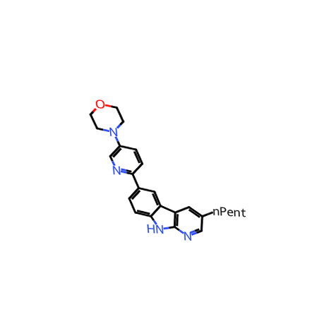 CCCCCc1cnc2[nH]c3ccc(-c4ccc(N5CCOCC5)cn4)cc3c2c1